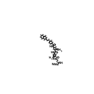 CNC(=N)CCNC(=O)c1cc(NC(=O)c2cc(NC(=O)c3ccc(/C=C/c4ccc5ccccc5c4)cc3)cn2C)cn1C